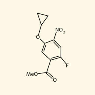 COC(=O)c1cc(OC2CC2)c([N+](=O)[O-])cc1F